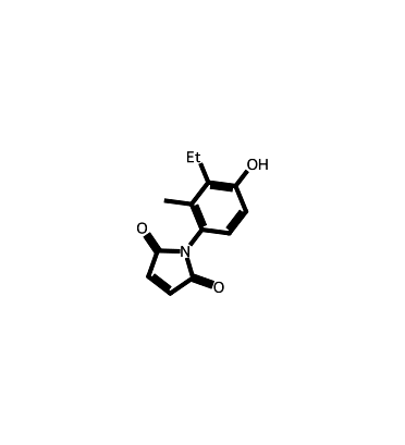 CCc1c(O)ccc(N2C(=O)C=CC2=O)c1C